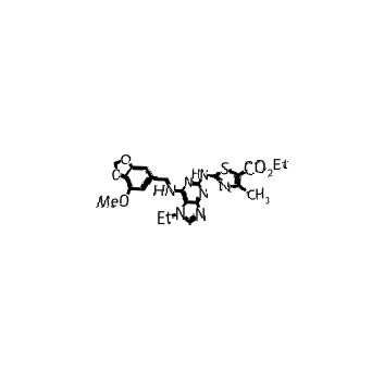 CCOC(=O)c1sc(Nc2nc(NCc3cc(OC)c4c(c3)OCO4)c3c(ncn3CC)n2)nc1C